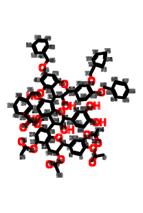 CC(=O)Oc1ccc(C2Oc3c(c(OC(C)=O)cc(OC(C)=O)c3C3c4c(O)cc(O)c(C5c6c(OCc7ccccc7)cc(OCc7ccccc7)cc6OC(c6ccc(OCc7ccccc7)c(OCc7ccccc7)c6)C5O)c4OC(c4ccc(O)c(O)c4)C3O)CC2OC(C)=O)cc1OC(C)=O